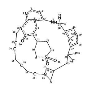 C[C@@H]1Nc2ncnc3c2cc(C2CCS(=O)(=O)CC2)c(=O)n3CCCCCCCN2CC(C2)CC(F)(F)c2cccc1c2F